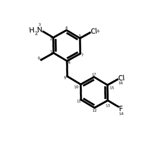 Cc1c(N)cc(Cl)cc1Cc1ccc(F)c(Cl)c1